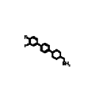 NCC1CCC(c2ccc(-c3ccc(F)c(F)c3)cc2)CC1